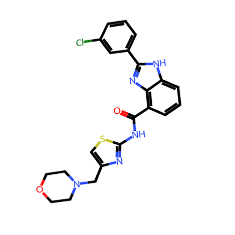 O=C(Nc1nc(CN2CCOCC2)cs1)c1cccc2[nH]c(-c3cccc(Cl)c3)nc12